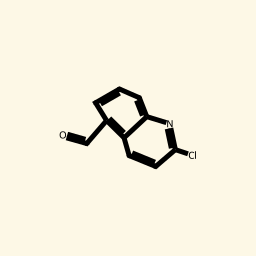 O=Cc1cccc2nc(Cl)ccc12